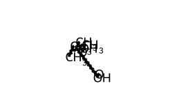 CCCCC(CC)CC(CC(CC)CCCC)C(CCCCCCCCCCCCCCCC(=O)O)CC(=O)O